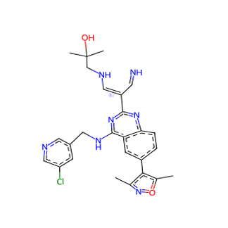 Cc1noc(C)c1-c1ccc2nc(/C(C=N)=C/NCC(C)(C)O)nc(NCc3cncc(Cl)c3)c2c1